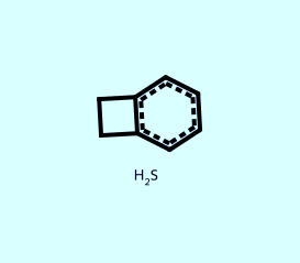 S.c1ccc2c(c1)CC2